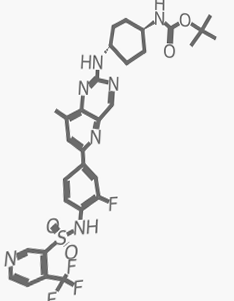 Cc1cc(-c2ccc(NS(=O)(=O)c3cnccc3C(F)(F)F)c(F)c2)nc2cnc(N[C@H]3CC[C@H](NC(=O)OC(C)(C)C)CC3)nc12